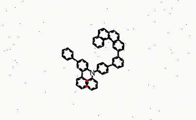 c1ccc(-c2ccc(N(c3ccccc3)c3ccc(-c4cccc(-c5ccc6ccc7ccc8ccccc8c7c6c5)c4)cc3)c(-c3ccccc3)c2)cc1